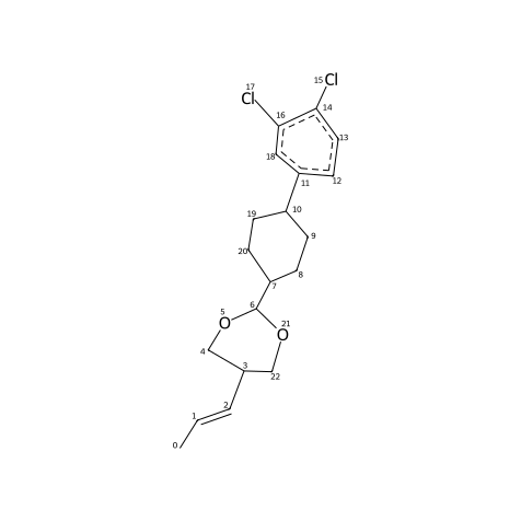 CC=CC1COC(C2CCC(c3ccc(Cl)c(Cl)c3)CC2)OC1